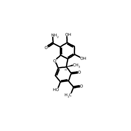 CC(=O)C1=C(O)C=C2Oc3c(C(N)=O)c(O)cc(O)c3[C@]2(C)C1=O